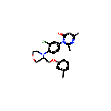 Cc1cccc(OCC2COCCN2c2ccc(-n3c(C)nc(C)cc3=O)cc2Cl)c1